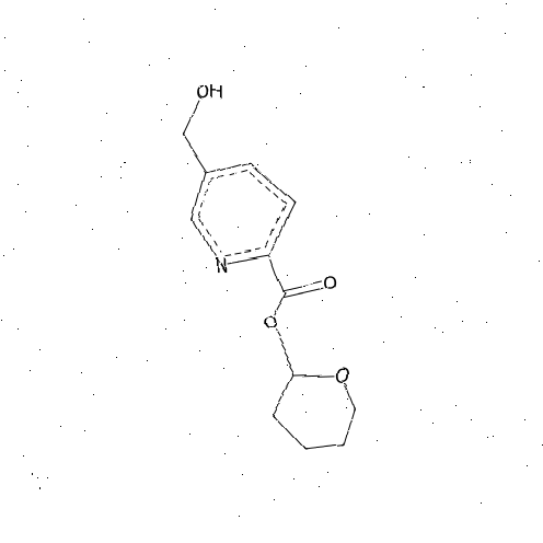 O=C(OC1CCCCO1)c1ccc(CO)cn1